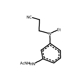 CCN(CCC#N)c1cccc(NNC(C)=O)c1